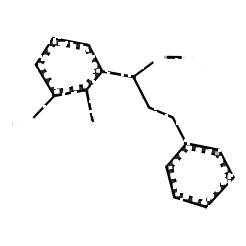 CCCc1cccc(C(CCc2ccccc2)OC(=O)O)c1CCC